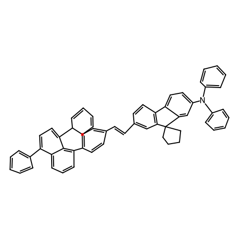 C1=CCC(c2ccc(-c3ccccc3)c3cccc(-c4ccc(/C=C/c5ccc6c(c5)C5(CCCC5)c5cc(N(c7ccccc7)c7ccccc7)ccc5-6)cc4)c23)C=C1